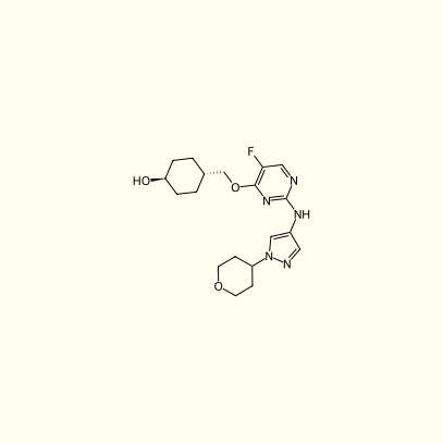 O[C@H]1CC[C@H](COc2nc(Nc3cnn(C4CCOCC4)c3)ncc2F)CC1